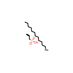 C=CCS(=O)(=O)O.CCCCCCCCCCC[CH2][Na]